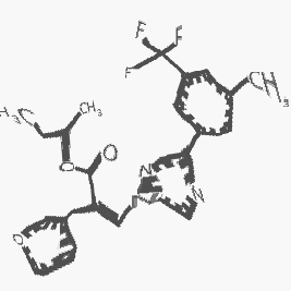 Cc1cc(-c2ncn(C=C(C(=O)OC(C)C)c3ccoc3)n2)cc(C(F)(F)F)c1